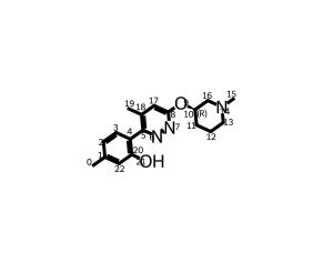 Cc1ccc(-c2nnc(O[C@@H]3CCCN(C)C3)cc2C)c(O)c1